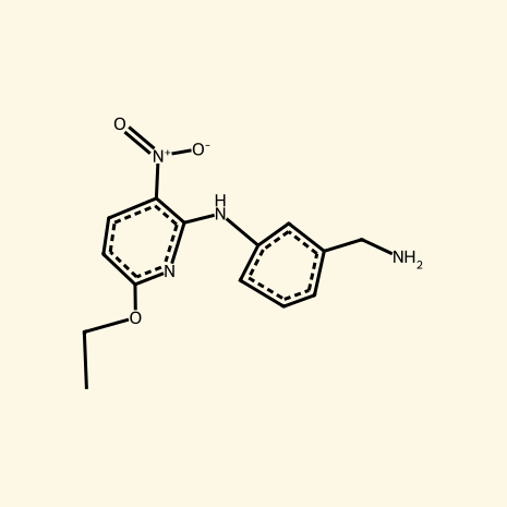 CCOc1ccc([N+](=O)[O-])c(Nc2cccc(CN)c2)n1